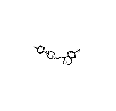 Cc1ccc(N2CCN(CCC3OCCc4cc(Br)ccc43)CC2)cc1